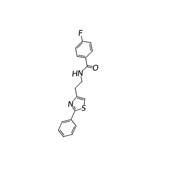 O=C(NCCc1csc(-c2ccccc2)n1)c1ccc(F)cc1